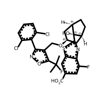 CC(C)(F)c1onc(-c2c(Cl)cccc2Cl)c1CO[C@H]1C[C@H]2CC[C@@H](C1)[C@@]2(O)c1nc2c(F)cc(C(=O)O)cc2s1